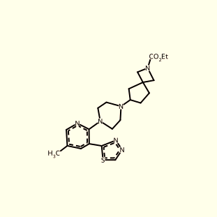 CCOC(=O)N1CC2(CCC(N3CCN(c4ncc(C)cc4-c4nncs4)CC3)C2)C1